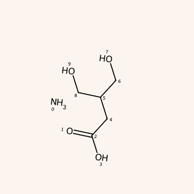 N.O=C(O)CC(CO)CO